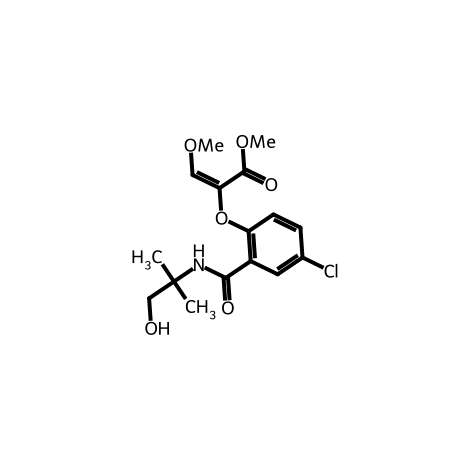 CO/C=C(/Oc1ccc(Cl)cc1C(=O)NC(C)(C)CO)C(=O)OC